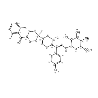 Cc1ccnc(C)c1C(=O)N1CCC(C)(N2CCN([C@@H](COC3OC(C(=O)O)C(O)C(O)C3O)c3ccc(C(F)(F)F)cc3)[C@@H](C)C2)CC1